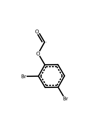 O=[C]Oc1ccc(Br)cc1Br